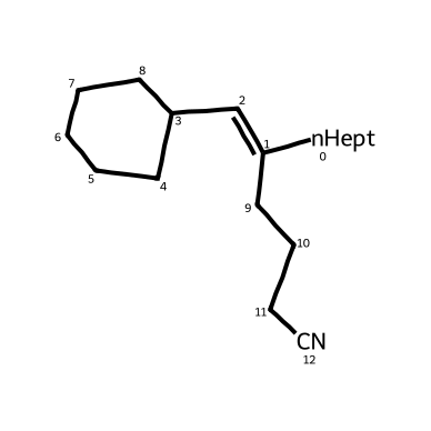 CCCCCCCC(=CC1CCCCC1)CCCC#N